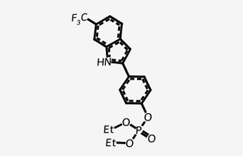 CCOP(=O)(OCC)Oc1ccc(-c2cc3ccc(C(F)(F)F)cc3[nH]2)cc1